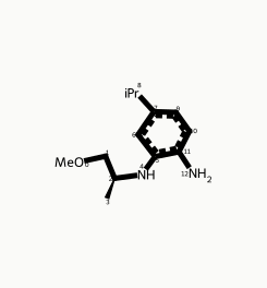 COC[C@H](C)Nc1cc(C(C)C)ccc1N